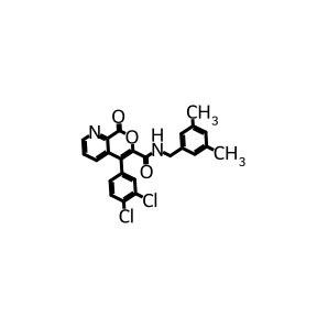 Cc1cc(C)cc(CNC(=O)c2oc(=O)c3ncccc3c2-c2ccc(Cl)c(Cl)c2)c1